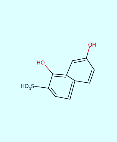 O=S(=O)(O)c1ccc2ccc(O)cc2c1O